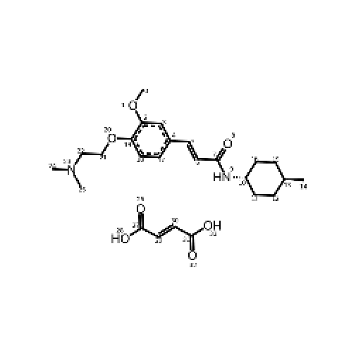 COc1cc(C=CC(=O)N[C@H]2CC[C@H](C)CC2)ccc1OCCN(C)C.O=C(O)C=CC(=O)O